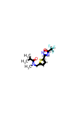 CC(C)C(=O)N(C)Cc1ccc(-c2noc(C(F)(F)F)n2)s1